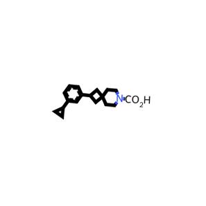 O=C(O)N1CCC2(CC1)CC(c1cccc(C3CC3)c1)C2